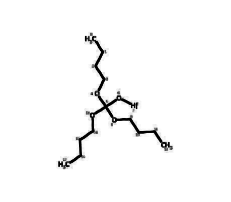 CCCCOC([O][Hf])(OCCCC)OCCCC